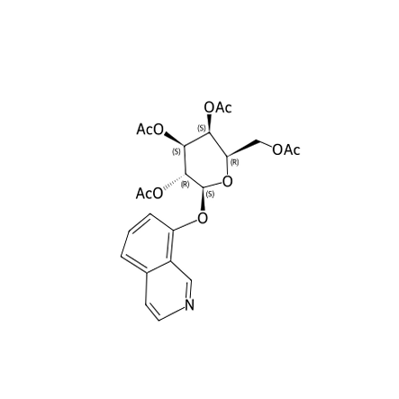 CC(=O)OC[C@H]1O[C@@H](Oc2cccc3ccncc23)[C@H](OC(C)=O)[C@@H](OC(C)=O)[C@H]1OC(C)=O